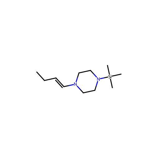 CC/C=C/N1CCN([Si](C)(C)C)CC1